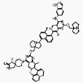 O=C1NCC2(CCN(c3nc(OCC45CCCN4C(c4ccc(F)c6c(-c7ncc8c(Nc9ccc%10cn[nH]c%10c9)nc(OCC9%10CCCN9CCC%10)nc8c7F)cccc46)CC5)nc4c(F)c(-c5cccc6cccc(F)c56)ncc34)CC2)N1